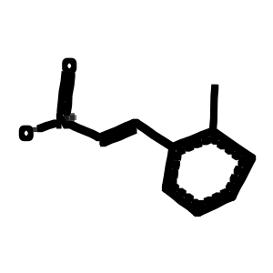 Cc1ccccc1/C=C/[N+](=O)[O-]